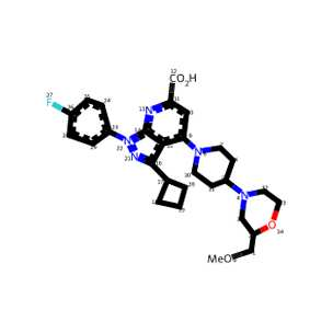 COCC1CN(C2CCN(c3cc(C(=O)O)nc4c3c(C3CCC3)nn4-c3ccc(F)cc3)CC2)CCO1